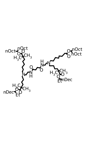 CCCCCCCCCCC(CC)OC(=O)C(C)(C)CCCCN(CCCCCCC(C)(C)C(=O)OC(CCCCCCCC)CCCCCCCC)CCNC(=O)CCC(=O)NCCN(CCCCCCCC(=O)OC(CCCCCCCC)CCCCCCCC)CCCCC(C)(C)C(=O)O[C@@H](CC)CCCCCCCCCC